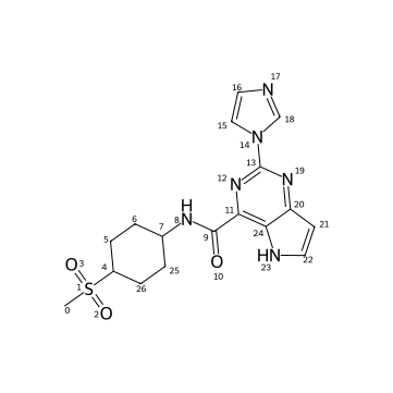 CS(=O)(=O)C1CCC(NC(=O)c2nc(-n3ccnc3)nc3cc[nH]c23)CC1